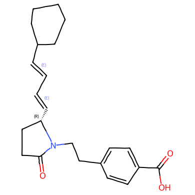 O=C(O)c1ccc(CCN2C(=O)CC[C@@H]2/C=C/C=C/C2CCCCC2)cc1